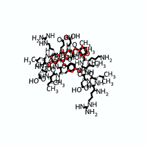 CC[C@H](C)[C@H](NC(=O)[C@H](CC(=O)O)NC(=O)[C@H](CC(C)C)NC(=O)[C@H](CCCNC(=N)N)NC(=O)[C@H](Cc1ccccc1)NC(=O)[C@H](CCC(=O)O)NC(=O)[C@@H](NC(=O)[C@H](CCCCN)NC(=O)[C@@H](NC(=O)[C@H](CC(=O)O)NC(=O)[C@H](CC(C)C)NC(=O)[C@@H](N)CCCNC(=N)N)[C@@H](C)CC)C(C)C)C(=O)N[C@@H](CCCCN)C(=O)N[C@H](C(=O)N[C@@H](CCC(=O)O)C(=O)N[C@@H](Cc1ccccc1)C(=O)O)C(C)C